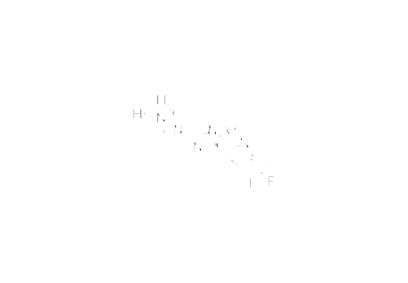 NC(=NS(=O)(=O)c1ccc(C(F)(F)F)cn1)[C@@H]1CC[C@@H]2CN1C(=O)N2O